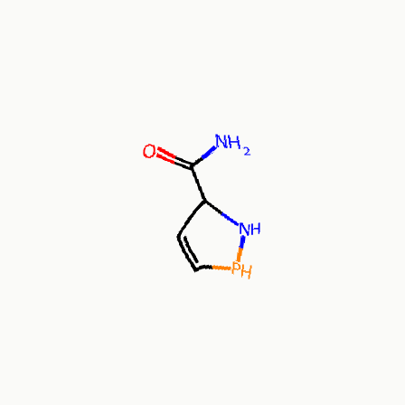 NC(=O)C1C=CPN1